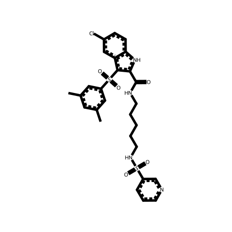 Cc1cc(C)cc(S(=O)(=O)c2c(C(=O)NCCCCCNS(=O)(=O)c3cccnc3)[nH]c3ccc(Cl)cc23)c1